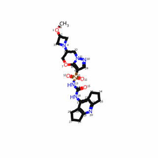 COC1CN(C2COc3c(S(=O)(=O)NC(=O)Nc4c5c(nc6c4CCC6)CCC5)cnn3C2)C1